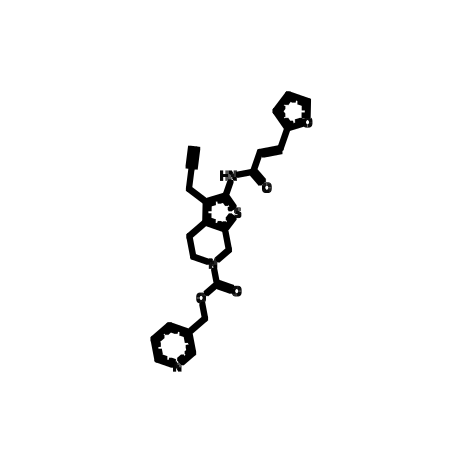 C#CCc1c(NC(=O)/C=C/c2ccco2)sc2c1CCN(C(=O)OCc1cccnc1)C2